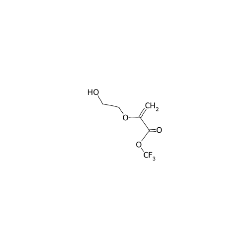 C=C(OCCO)C(=O)OC(F)(F)F